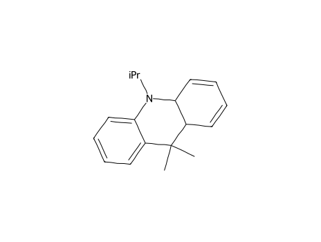 CC(C)N1c2ccccc2C(C)(C)C2C=CC=CC21